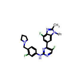 Cc1nc2c(F)cc(-c3nc(Nc4ccc(CN5CCCC5)c(F)c4)ncc3F)cc2n1C(C)C